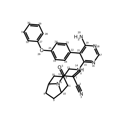 C=C(C#N)C(=O)N1C2CCC1CC(CNc1ncnc(N)c1-c1ccc(Oc3ccccc3)cc1)C2